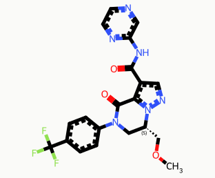 COC[C@@H]1CN(c2ccc(C(F)(F)F)cc2)C(=O)c2c(C(=O)Nc3cnccn3)cnn21